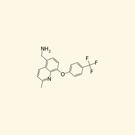 Cc1ccc2c(CN)ccc(Oc3ccc(C(F)(F)F)cc3)c2n1